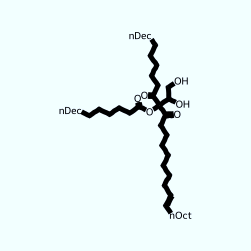 CCCCCCCCC=CCCCCCCCC(=O)C(OC(=O)CCCCCCCCCCCCCCC)(C(=O)CCCCCCCCCCCCCCC)C(O)CO